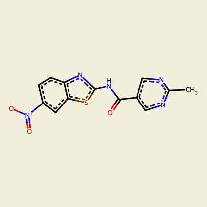 Cc1ncc(C(=O)Nc2nc3ccc([N+](=O)[O-])cc3s2)cn1